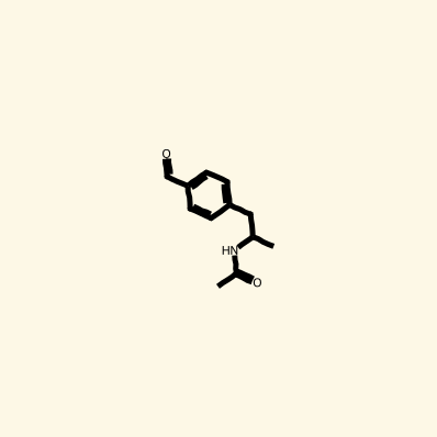 CC(=O)NC(C)Cc1ccc(C=O)cc1